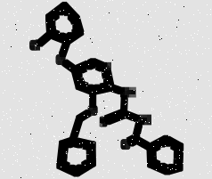 O=C(NC(=S)Nc1ncc(Oc2ccccc2Cl)cc1OCc1ccccc1)c1ccccc1